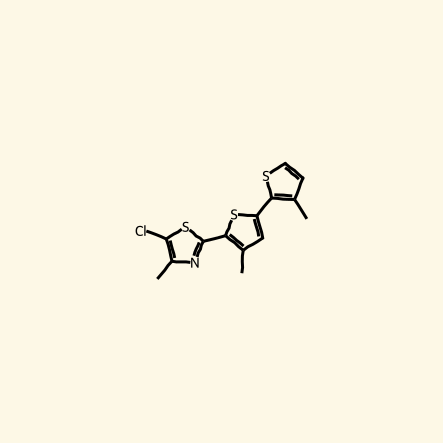 Cc1ccsc1-c1cc(C)c(-c2nc(C)c(Cl)s2)s1